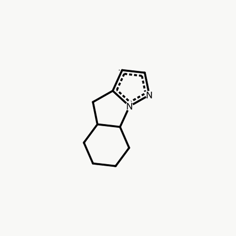 [c]1cnn2c1CC1CCCCC12